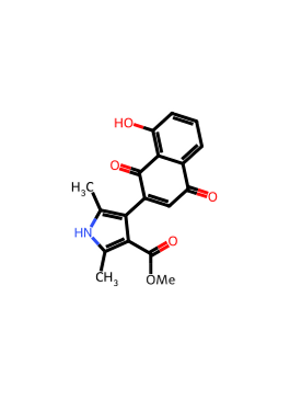 COC(=O)c1c(C)[nH]c(C)c1C1=CC(=O)c2cccc(O)c2C1=O